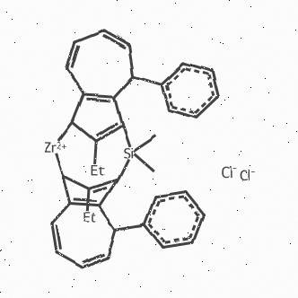 CCC1=C2C3=C(C=CC=CC3c3ccccc3)[CH]1[Zr+2][CH]1C3=C(C(=C1CC)[Si]2(C)C)C(c1ccccc1)C=CC=C3.[Cl-].[Cl-]